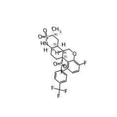 C[C@@H]1C[C@@H]2[C@@H](CC[C@@]3(S(=O)(=O)c4ccc(C(F)(F)F)cc4)c4c(F)ccc(F)c4OC[C@@H]23)NS1(=O)=O